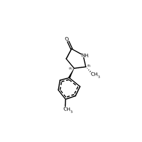 Cc1ccc([C@H]2CC(=O)N[C@@H]2C)cc1